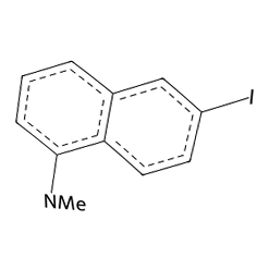 CNc1cccc2cc(I)ccc12